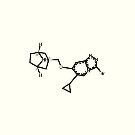 Brc1nnc2cc(OC[C@@H]3C[C@H]4CC[C@@H](C3)N4)c(C3CC3)cn12